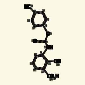 N#Cc1ccc(OC(=O)Nc2cccc(C(=O)O)c2O)cc1